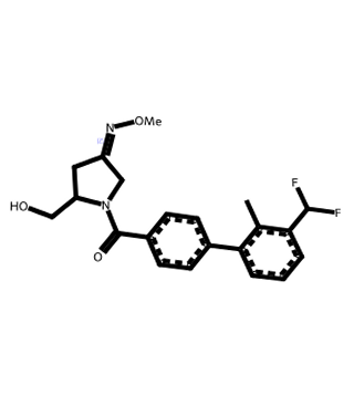 CO/N=C1/CC(CO)N(C(=O)c2ccc(-c3cccc(C(F)F)c3C)cc2)C1